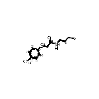 CCCCNC(=O)CSc1ccc(Cl)cc1